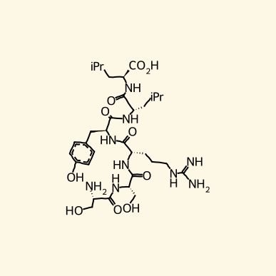 CC(C)C[C@H](NC(=O)[C@H](CC(C)C)NC(=O)[C@H](Cc1ccc(O)cc1)NC(=O)[C@H](CCCNC(=N)N)NC(=O)[C@H](CO)NC(=O)[C@@H](N)CO)C(=O)O